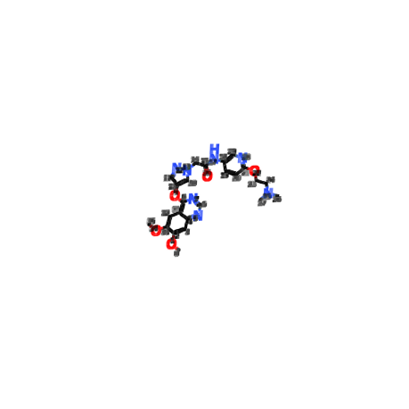 COc1cc2ncnc(Oc3cnn(CC(=O)Nc4ccc(OCCN(C)C)nc4)c3)c2cc1OC